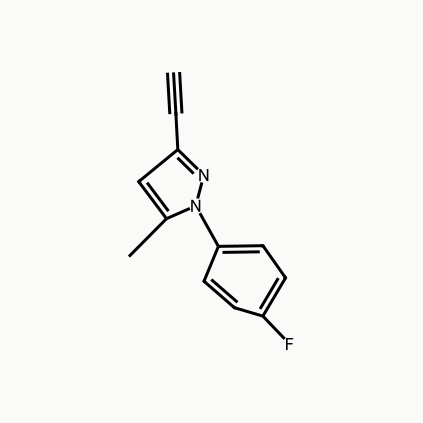 C#Cc1cc(C)n(-c2ccc(F)cc2)n1